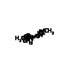 CCc1ccc(OCCCNC(=O)OC(C)(C)C)cc1